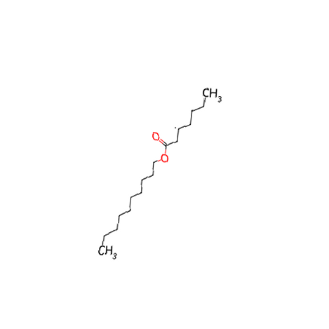 CCCC[CH]CC(=O)OCCCCCCCCCC